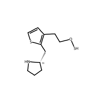 SOCCc1ccsc1C[C@@H]1CCCN1